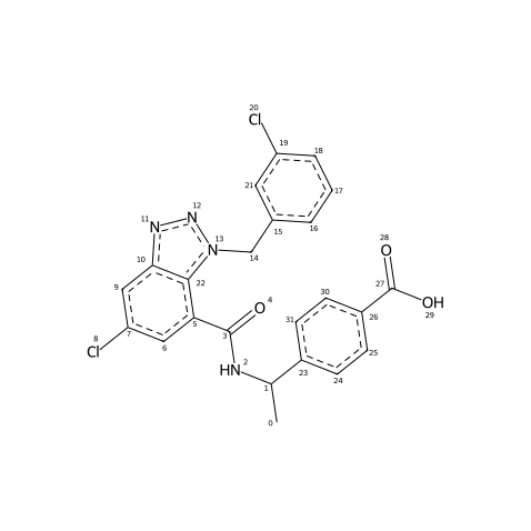 CC(NC(=O)c1cc(Cl)cc2nnn(Cc3cccc(Cl)c3)c12)c1ccc(C(=O)O)cc1